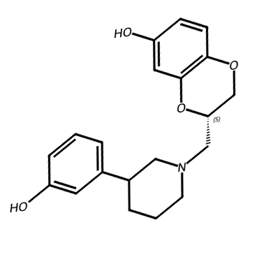 Oc1cccc(C2CCCN(C[C@H]3COc4ccc(O)cc4O3)C2)c1